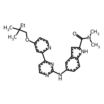 CCC(C)(C)COc1ccnc(-c2ccnc(Nc3ccc4[nH]c(C(=O)N(C)C)cc4c3)n2)c1